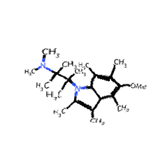 COC1=C(C)C2C(C)=C(C)N(C(C)(C)C(C)(C)N(C)C)C2C(C)=C1C